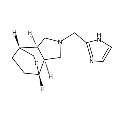 c1c[nH]c(CN2C[C@@H]3[C@H]4CC[C@H](CC4)[C@@H]3C2)n1